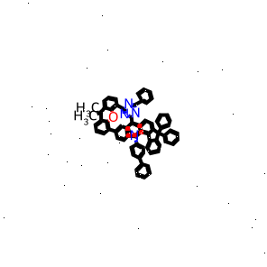 CC1(C)c2cccc(-c3ccc(N(c4ccc(-c5ccccc5)cc4)c4cccc5c4-c4ccccc4C5(c4ccccc4)c4ccccc4)cc3)c2Oc2c(-c3nc(-c4ccccc4)nc(-c4ccccc4)n3)cccc21